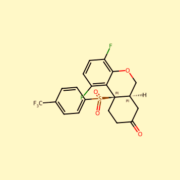 O=C1CC[C@]2(S(=O)(=O)c3ccc(C(F)(F)F)cc3)c3c(F)ccc(F)c3OC[C@H]2C1